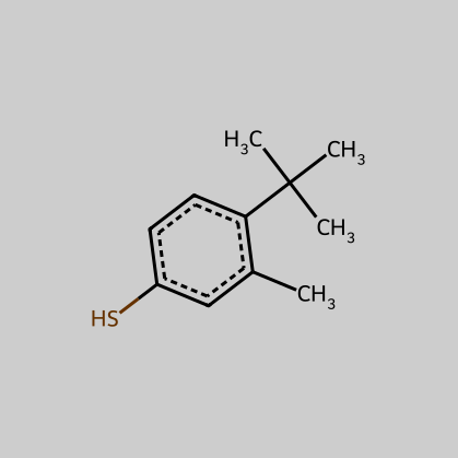 Cc1cc(S)ccc1C(C)(C)C